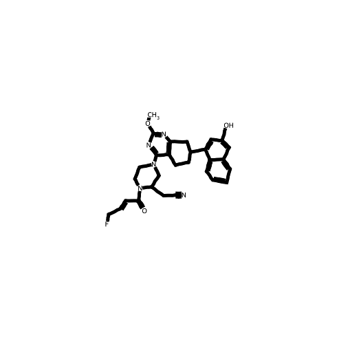 COc1nc2c(c(N3CCN(C(=O)/C=C/CF)C(CC#N)C3)n1)CCC(c1cc(O)cc3ccccc13)C2